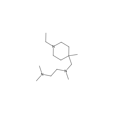 CCN1CCC(C)(CN(C)CCN(C)C)CC1